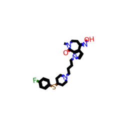 CN1CCC(=NO)c2ccn(CCCCN3CCC(Sc4ccc(F)cc4)CC3)c2C1=O